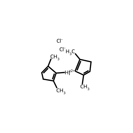 CC1=CCC(C)=[C]1[Hf+2][C]1=C(C)CC=C1C.[Cl-].[Cl-]